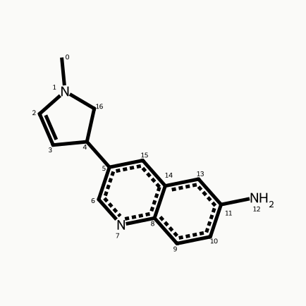 CN1C=CC(c2cnc3ccc(N)cc3c2)C1